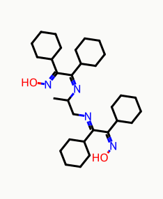 CC(CN=C(C(=NO)C1CCCCC1)C1CCCCC1)N=C(C(=NO)C1CCCCC1)C1CCCCC1